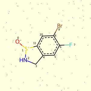 [O-][S+]1NCc2cc(F)c(Br)cc21